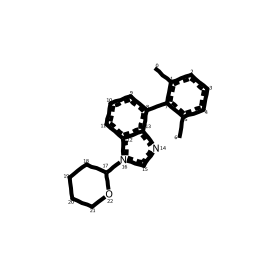 Cc1cccc(C)c1-c1cccc2c1ncn2C1CCCCO1